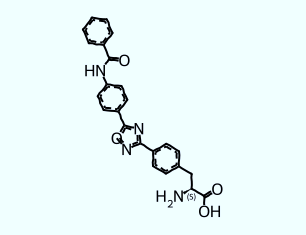 N[C@@H](Cc1ccc(-c2noc(-c3ccc(NC(=O)c4ccccc4)cc3)n2)cc1)C(=O)O